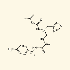 C=C(C)OC(=O)N[C@H](CN[C@@H](C)C(=O)N[C@H](C)c1ccc(N)cc1)Cc1cscn1